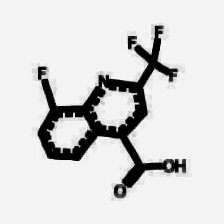 O=C(O)c1cc(C(F)(F)F)nc2c(F)cccc12